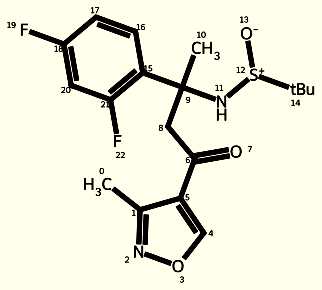 Cc1nocc1C(=O)CC(C)(N[S+]([O-])C(C)(C)C)c1ccc(F)cc1F